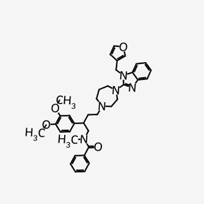 COc1ccc(C(CCN2CCCN(c3nc4ccccc4n3Cc3ccoc3)CC2)CN(C)C(=O)c2ccccc2)cc1OC